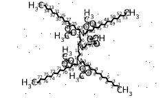 CCCCCCCCCCCCC(CN(CCCN(CCCN(CC(CCCCCCCCCCCC)OC(C)=O)CC(CCCCCCCCCCCC)OC(C)=O)CCCS(=O)(=O)O)CC(CCCCCCCCCCCC)OC(C)=O)OC(C)=O